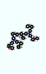 c1ccc2c(c1)oc1c(-c3ccc(N(c4ccc(-c5cccc6sc7ccccc7c56)cc4)c4ccc(-c5ccc(-c6ccc7c(c6)sc6cccc(-c8ccc(N(c9ccc(-c%10cccc%11oc%12ccccc%12c%10%11)cc9)c9ccc(-c%10cccc%11sc%12ccccc%12c%10%11)cc9)cc8)c67)c6oc7ccccc7c56)cc4)cc3)cccc12